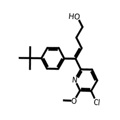 COc1nc(C(=CCCO)c2ccc(C(C)(C)C)cc2)ccc1Cl